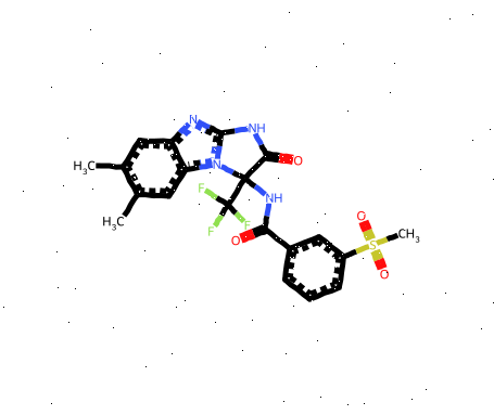 Cc1cc2nc3n(c2cc1C)C(NC(=O)c1cccc(S(C)(=O)=O)c1)(C(F)(F)F)C(=O)N3